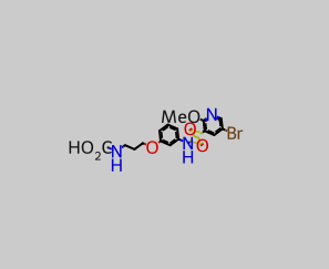 COc1ncc(Br)cc1S(=O)(=O)Nc1cccc(OCCCNC(=O)O)c1